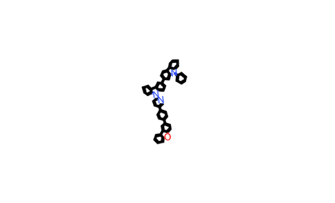 c1ccc(-n2c3ccccc3c3ccc(-c4ccc5c(c4)c4ccccc4n5-c4ccc(-c5ccc(-c6ccc7oc8ccccc8c7c6)cc5)cn4)cc32)cc1